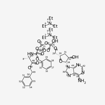 CCN(CC)CC.CCN(CC)CC.C[C@H](NP(=O)(Oc1ccccc1)OP(=O)(O)OP(=O)(O)OC[C@@H]1C[C@@H](O)[C@H](n2cnc3c(N)ncnc32)O1)C(=O)OCc1ccccc1